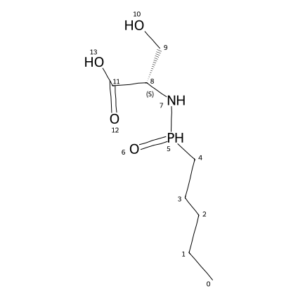 CCCCC[PH](=O)N[C@@H](CO)C(=O)O